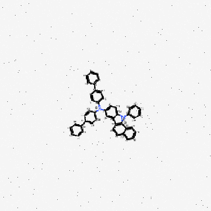 c1ccc(-c2ccc(N(c3ccc(-c4ccccc4)cc3)c3ccc4c(c3)c3ccc5ccccc5c3n4-c3ccccc3)cc2)cc1